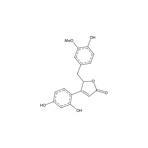 COc1cc(CC2OC(=O)C=C2c2ccc(O)cc2O)ccc1O